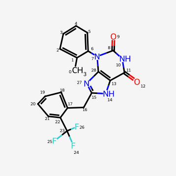 Cc1ccccc1-n1c(=O)[nH]c(=O)c2[nH]c(Cc3ccccc3C(F)(F)F)nc21